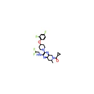 CC1Cc2nc(NCC(F)F)c(N3CCC(Oc4ccc(F)cc4F)CC3)nc2CN1C(=O)C1CC1